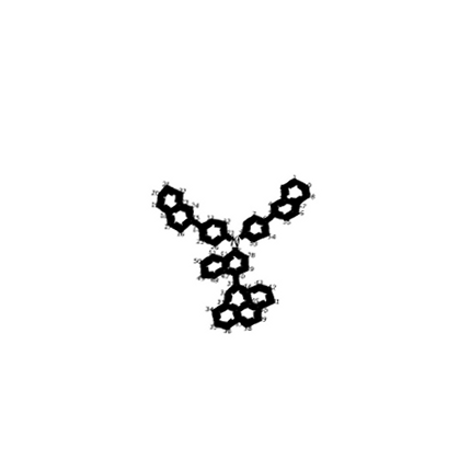 c1ccc2cc(-c3ccc(N(c4ccc(-c5ccc6ccccc6c5)cc4)c4ccc(-c5cc6cccc7ccc8cccc5c8c76)c5ccccc45)cc3)ccc2c1